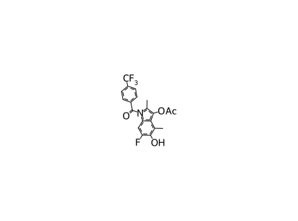 CC(=O)Oc1c(C)n(C(=O)c2ccc(C(F)(F)F)cc2)c2cc(F)c(O)c(C)c12